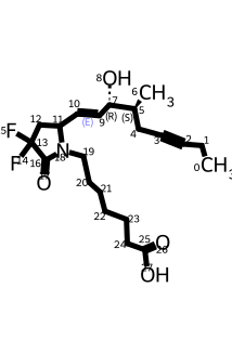 CCC#CC[C@H](C)[C@@H](O)/C=C/C1CC(F)(F)C(=O)N1CCCCCCC(=O)O